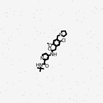 COc1cc(CN2CCCC2)c(Cl)cc1CC(=O)Nc1ccnc(C(=O)NC(C)(C)C)c1